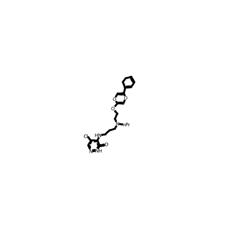 CCCN(CCCNc1c(Cl)cn[nH]c1=O)CCOC1=COC(C2=CC=CCC2)=CO1